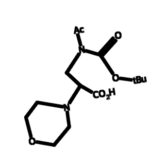 CC(=O)N(CC(C(=O)O)N1CCOCC1)C(=O)OC(C)(C)C